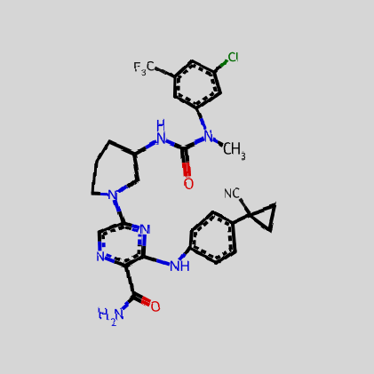 CN(C(=O)NC1CCCN(c2cnc(C(N)=O)c(Nc3ccc(C4(C#N)CC4)cc3)n2)C1)c1cc(Cl)cc(C(F)(F)F)c1